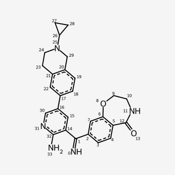 N=C(c1ccc2c(c1)OCCNC2=O)c1cc(-c2ccc3c(c2)CCN(C2CC2)C3)cnc1N